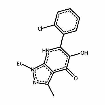 CCn1nc(C)c2c(=O)c(O)c(-c3ccccc3Cl)[nH]c21